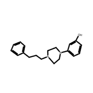 Oc1cccc(N2CCN(CCCc3ccccc3)CC2)c1